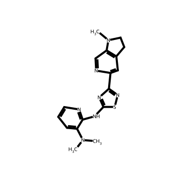 CN(C)c1cccnc1Nc1nc(-c2cc3c(cn2)N(C)CC3)ns1